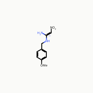 COc1ccc(CN/C(N)=C/[N+](=O)[O-])cc1